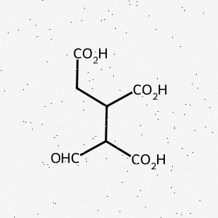 O=CC(C(=O)O)C(CC(=O)O)C(=O)O